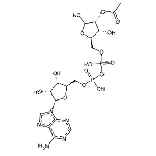 CC(=O)O[C@H]1C(O)O[C@H](COP(=O)(O)OP(=O)(O)OC[C@H]2O[C@@H](n3cnc4c(N)ncnc43)[C@H](O)[C@@H]2O)[C@H]1O